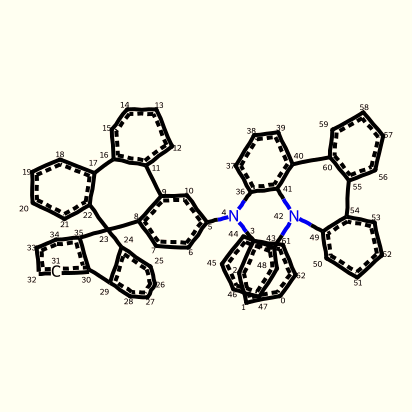 c1ccc(N(c2ccc3c(c2)-c2ccccc2-c2ccccc2C32c3ccccc3-c3ccccc32)c2cccc3c2N(c2ccccc2)c2ccccc2-c2ccccc2-3)cc1